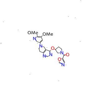 COc1cc(N2CCc3ncnc(O[C@H]4CCN(C(=O)c5cnco5)C4)c3C2)cnc1OC